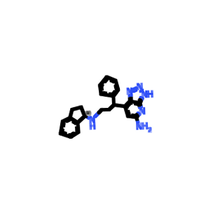 Nc1cc(C(CCN[C@@H]2CCc3ccccc32)c2ccccc2)c2nn[nH]c2n1